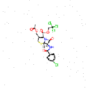 CC(=O)OCC1=C(C(=O)OCC(Cl)(Cl)Cl)N2C(=O)[C@@H](NC(=O)c3ccc(Cl)cc3)[C@H]2SC1